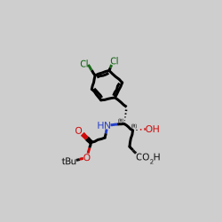 CC(C)(C)OC(=O)CN[C@H](Cc1ccc(Cl)c(Cl)c1)[C@H](O)CC(=O)O